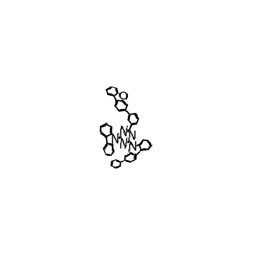 c1ccc(-c2ccc3c4ccccc4n(-c4nc(-c5cccc(-c6ccc7c(c6)oc6ccccc67)c5)nc(-n5c6ccccc6c6ccccc65)n4)c3c2)cc1